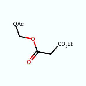 CCOC(=O)CC(=O)OCOC(C)=O